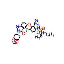 CCN(C)S(=O)(=O)Nc1ccc(F)c(Oc2ccc3ncn(C4CCC5(CC4)OCCO5)c(=O)c3c2)c1C#N